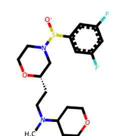 CN(CC[C@H]1CN([S+]([O-])c2cc(F)cc(F)c2)CCO1)C1CCOCC1